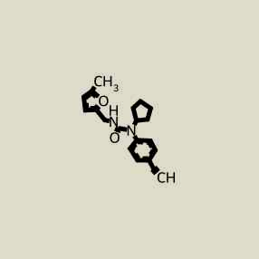 C#Cc1ccc(N(C(=O)NCc2ccc(C)o2)C2CCCC2)cc1